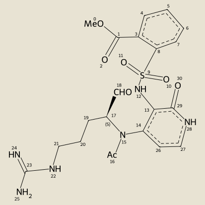 COC(=O)c1ccccc1S(=O)(=O)Nc1c(N(C(C)=O)[C@H](C=O)CCCNC(=N)N)cc[nH]c1=O